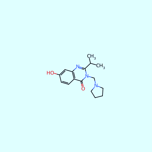 CC(C)c1nc2cc(O)ccc2c(=O)n1CN1CCCC1